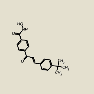 CC(C)(C)c1ccc(C=CC(=O)c2ccc(C(=O)NO)cc2)cc1